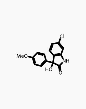 COc1ccc(C2(O)C(=O)Nc3cc(Cl)ccc32)cc1